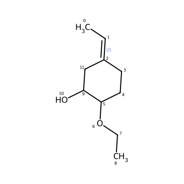 C/C=C1/CCC(OCC)C(O)C1